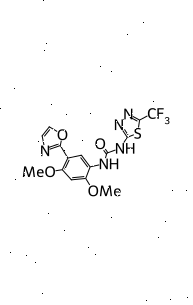 COc1cc(OC)c(-c2ncco2)cc1NC(=O)Nc1nnc(C(F)(F)F)s1